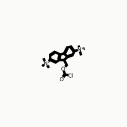 C[N+](C)(C)c1ccc2c(c1)C(COC(=O)Cl)c1cc([N+](C)(C)C)ccc1-2